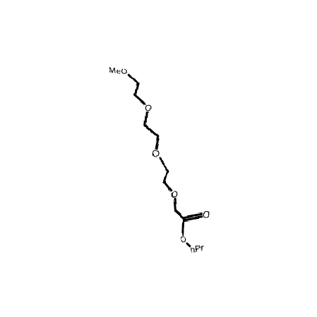 CCCOC(=O)COCCOCCOCCOC